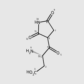 N[C@@H](CC(=O)O)C(=O)C1CC(=O)NC1=O